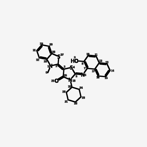 CN1C(=C2SC(=Nc3c(O)ccc4ccccc34)N(C3CCCCC3)C2=O)Sc2ccccc21